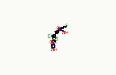 O=C(c1ccc(-c2cc(Cl)c(C[C@@H]3CCN(C4CCC(O)CC4)C3=O)c(Cl)c2)cc1)N(CCO)CCCCF